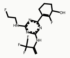 C=C(Nc1nc(NCCF)nc(C2=C(F)C(O)CCC2)n1)C(F)(F)F